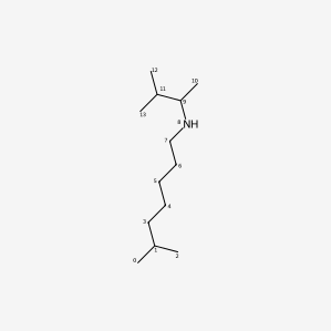 CC(C)CCCCCNC(C)C(C)C